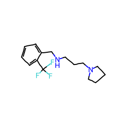 FC(F)(F)c1ccccc1CNCCCN1CCCC1